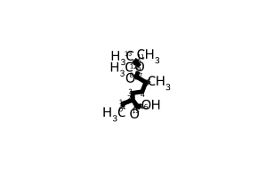 CCC(CCC(C)C(=O)OC(C)(C)C)C(=O)O